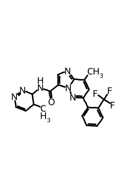 Cc1cc(-c2ccccc2C(F)(F)F)nn2c(C(=O)NC3N=NC=CC3C)cnc12